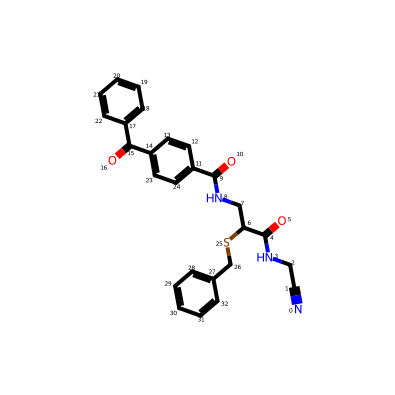 N#CCNC(=O)C(CNC(=O)c1ccc(C(=O)c2ccccc2)cc1)SCc1ccccc1